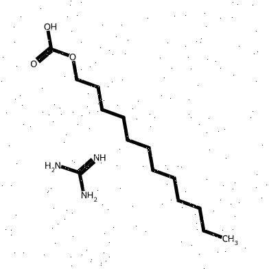 CCCCCCCCCCCCOC(=O)O.N=C(N)N